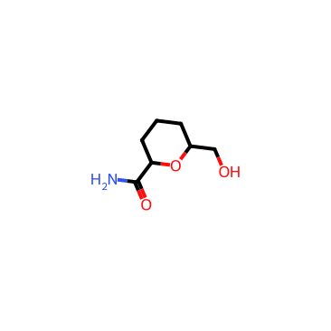 NC(=O)C1CCCC(CO)O1